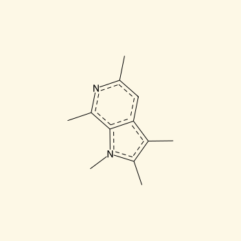 Cc1cc2c(C)c(C)n(C)c2c(C)n1